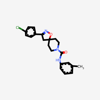 Cc1cccc(NC(=O)N2CCC3(CC2)CC(c2ccc(Cl)cc2)=NO3)c1